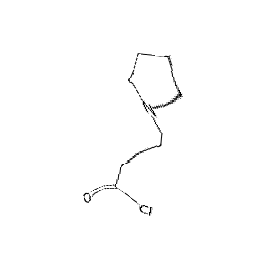 O=C(Cl)CCN1CCCC1